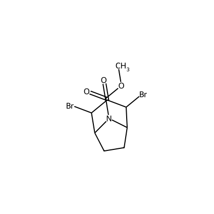 COC(=O)N1C2CCC1C(Br)C(=O)C2Br